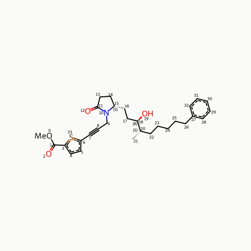 COC(=O)c1ccc(C#CCN2C(=O)CC[C@@H]2CC[C@@H](O)[C@@H](C)CCCCCc2ccccc2)s1